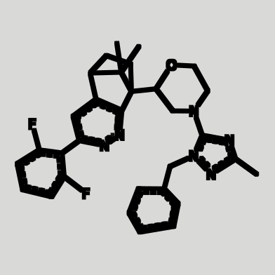 Cc1nc(N2CCOC(C34CCC(c5cc(-c6c(F)cccc6F)nnc53)C4(C)C)C2)n(Cc2ccccc2)n1